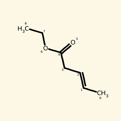 CC=CCC(=O)OCC